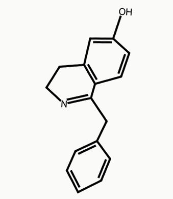 Oc1ccc2c(c1)CCN=C2Cc1ccccc1